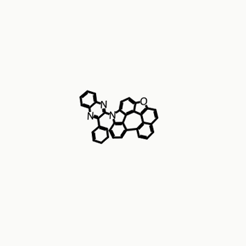 C1=CC(c2nc3ccccc3nc2-n2c3cccc4c3c3c5c(ccc32)oc2ccc3cccc-4c3c25)=CCC1